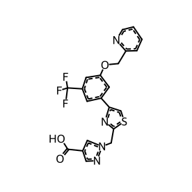 O=C(O)c1cnn(Cc2nc(-c3cc(OCc4ccccn4)cc(C(F)(F)F)c3)cs2)c1